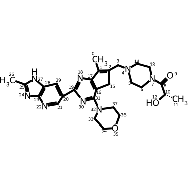 CC1=C(CN2CCN(C(=O)[C@H](C)O)CC2)Cc2c1nc(-c1cnc3nc(C)[nH]c3c1)nc2N1CCOCC1